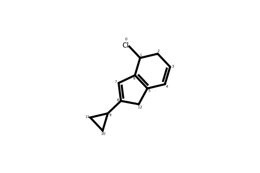 ClC1CC=CC2=C1C=C(C1CC1)C2